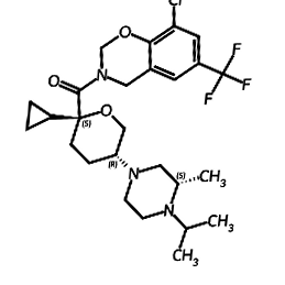 CC(C)N1CCN([C@@H]2CC[C@@](C(=O)N3COc4c(Cl)cc(C(F)(F)F)cc4C3)(C3CC3)OC2)C[C@@H]1C